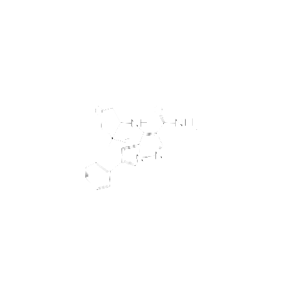 CC1(F)COCC1Nc1c(C(N)=O)cnn2cc(-c3ccccc3)cc12